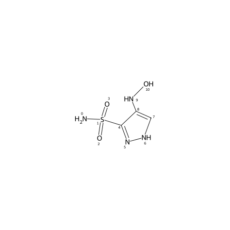 NS(=O)(=O)c1n[nH]cc1NO